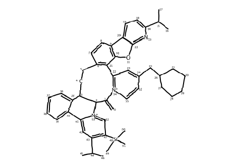 C=C1C2C(CCc3ccc4c(oc5nc(C(C)C)ccc54)c3-c3cc(CC4CCCCC4)cc[n+]31)c1ccccc1-c1cc(C(C)C)c([Si](C)(C)C)c[n+]12